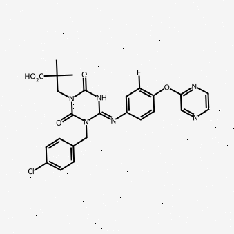 CC(C)(Cn1c(=O)[nH]/c(=N\c2ccc(Oc3cnccn3)c(F)c2)n(Cc2ccc(Cl)cc2)c1=O)C(=O)O